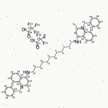 Cc1cc(NCCCCCCCCCCCCNc2cc(C)[n+](Cc3ccccc3)c3ccccc23)c2ccccc2[n+]1Cc1ccccc1.O=C([O-])C(F)(F)F.O=C([O-])C(F)(F)F